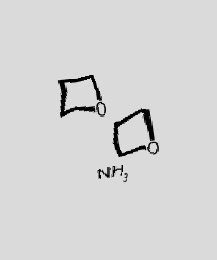 C1COC1.C1COC1.N